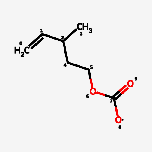 C=CC(C)CCOC([O])=O